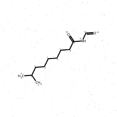 CC(C)CCCCCCC(=O)NC=O